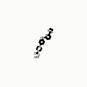 CC(C)(C)OC(=O)N1CCN(c2ccc(Nc3cccc(-c4nccs4)n3)cc2)CC1